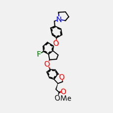 COC(=O)C[C@@H]1COc2cc(O[C@@H]3CCc4c(Oc5ccc(CN6CCCC6)cc5)ccc(F)c43)ccc21